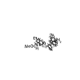 CCc1cc(NCCOC)c2ncc(OCc3cncc(-n4cc([C@H]5CCCO5)c5c(N)ncnc54)c3)cc2n1